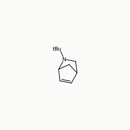 CC(C)(C)N1CC2C=CC1C2